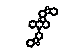 c1ccc2c(c1)N(c1ccc3oc4ccccc4c3c1)c1cccc3c4c5c(ccc4n-2c13)oc1ccccc15